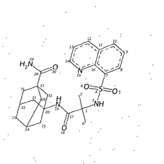 CC(C)(NS(=O)(=O)c1cccc2cccnc12)C(=O)NC12CC3CC(C1)CC(C(N)=O)(C3)C2